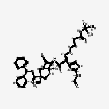 C=CC1(C(=O)OC(c2ccccc2)c2ccccc2)CS[C@@H]2C(NC(=O)C(=NOCCCC(=O)OC(C)(C)C)c3csc(NC=O)n3)C(=O)N2C1